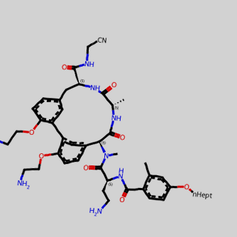 CCCCCCCOc1ccc(C(=O)N[C@@H](CCN)C(=O)N(C)[C@@H]2C(=O)N[C@@H](C)C(=O)N[C@H](C(=O)NCC#N)Cc3ccc(OCCN)c(c3)-c3cc2ccc3OCCN)c(C)c1